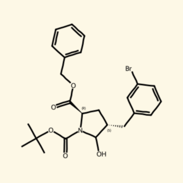 CC(C)(C)OC(=O)N1C(O)[C@@H](Cc2cccc(Br)c2)C[C@@H]1C(=O)OCc1ccccc1